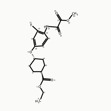 CCOC(=O)[C@H]1CC[C@H](Oc2ccc(NC(=O)C(=O)OC)c(F)c2)CC1